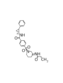 C=CC(=O)N[C@H]1CCCN(S(=O)(=O)c2ccc(C(=O)N[C@@H]3CC3c3ccccc3)cc2)C1